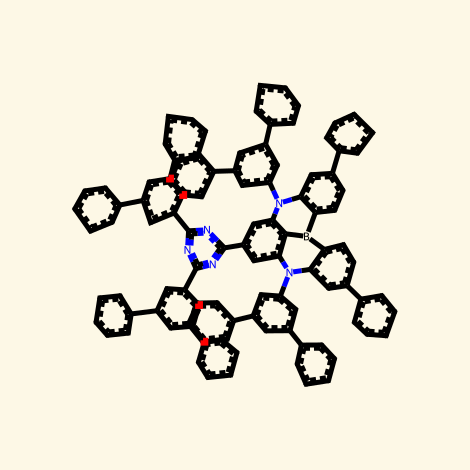 c1ccc(-c2cc(-c3ccccc3)cc(-c3nc(-c4cc(-c5ccccc5)cc(-c5ccccc5)c4)nc(-c4cc5c6c(c4)N(c4cc(-c7ccccc7)cc(-c7ccccc7)c4)c4cc(-c7ccccc7)ccc4B6c4ccc(-c6ccccc6)cc4N5c4cc(-c5ccccc5)cc(-c5ccccc5)c4)n3)c2)cc1